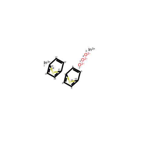 [In+3].[In+3].[O-2].[O-2].[O-2].c1cc2ccc1s2.c1cc2ccc1s2